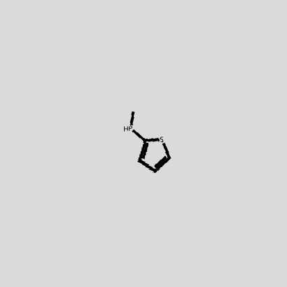 CPc1cccs1